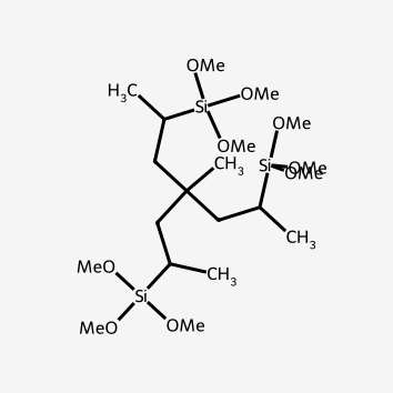 CO[Si](OC)(OC)C(C)CC(C)(CC(C)[Si](OC)(OC)OC)CC(C)[Si](OC)(OC)OC